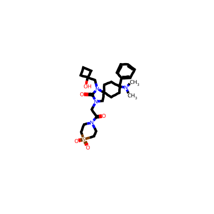 CN(C)C1(c2ccccc2)CCC2(CC1)CN(CC(=O)N1CCS(=O)(=O)CC1)C(=O)N2CC1(O)CCC1